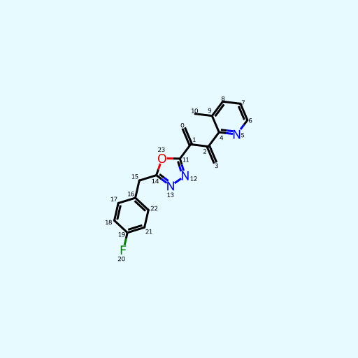 C=C(C(=C)c1ncccc1C)c1nnc(Cc2ccc(F)cc2)o1